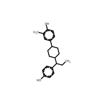 CCC(c1ccc(O)cc1)C1CCC(c2ccc(O)c(C)c2)CC1